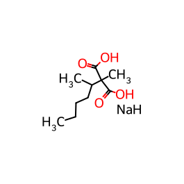 CCCCC(C)C(C)(C(=O)O)C(=O)O.[NaH]